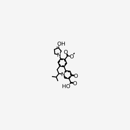 COC(=O)c1cc2c(cc1N1CC[C@H](O)C1)CC(C(C)C)n1cc(C(=O)O)c(=O)cc1-2